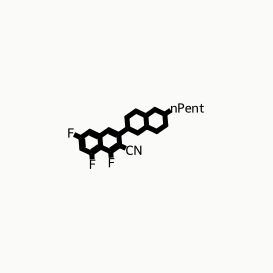 CCCCCC1CCC2CC(c3cc4cc(F)cc(F)c4c(F)c3C#N)CCC2C1